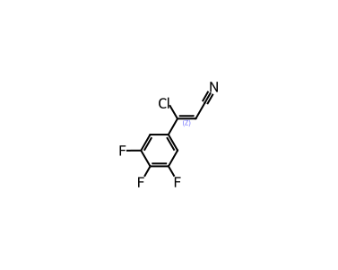 N#C/C=C(\Cl)c1cc(F)c(F)c(F)c1